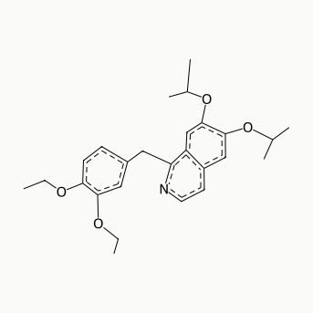 CCOc1ccc(Cc2nccc3cc(OC(C)C)c(OC(C)C)cc23)cc1OCC